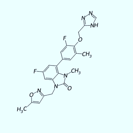 Cc1cc(Cn2c(=O)n(C)c3c(-c4cc(C)c(OCc5nnc[nH]5)c(F)c4)cc(F)cc32)no1